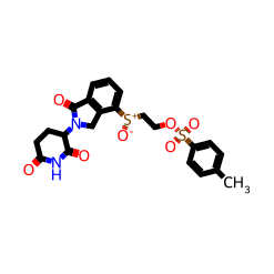 Cc1ccc(S(=O)(=O)OCC[S+]([O-])c2cccc3c2CN(C2CCC(=O)NC2=O)C3=O)cc1